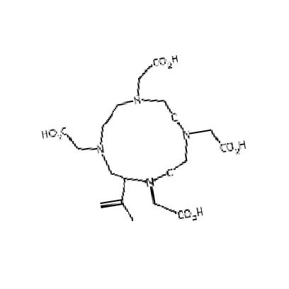 C=C(C)C1CN(CC(=O)O)CCN(CC(=O)O)CCN(CC(=O)O)CCN1CC(=O)O